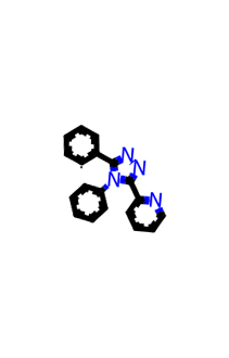 [c]1ccccc1-c1nnc(-c2ccccn2)n1-c1ccccc1